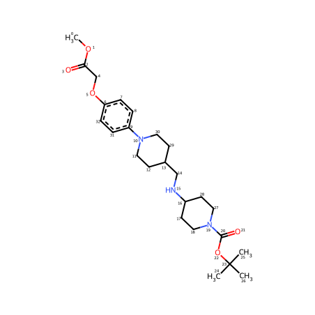 COC(=O)COc1ccc(N2CCC(CNC3CCN(C(=O)OC(C)(C)C)CC3)CC2)cc1